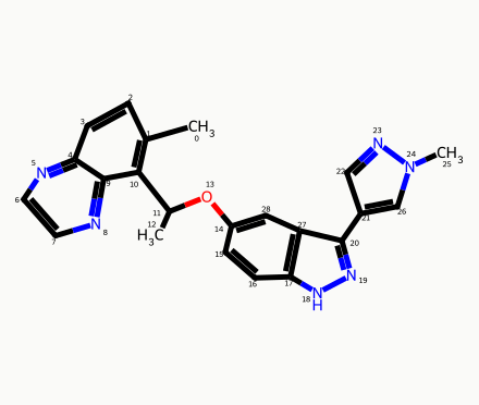 Cc1ccc2nccnc2c1C(C)Oc1ccc2[nH]nc(-c3cnn(C)c3)c2c1